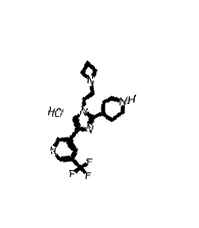 Cl.FC(F)(F)c1cncc(-c2cn(CCN3CCC3)c(C3CCNCC3)n2)c1